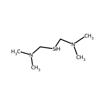 CN(C)C[SiH]CN(C)C